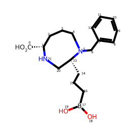 O=C(O)[C@@H]1CCCN(Cc2ccccc2)[C@H](CCCB(O)O)CN1